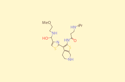 COCCNC(O)c1csc(-c2c(NC(=O)CCNC(C)C)sc3c2CCNC3)n1